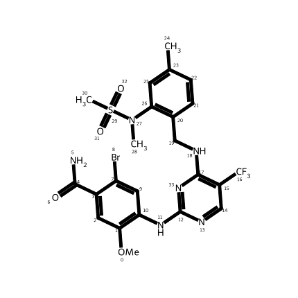 COc1cc(C(N)=O)c(Br)cc1Nc1ncc(C(F)(F)F)c(NCc2ccc(C)cc2N(C)S(C)(=O)=O)n1